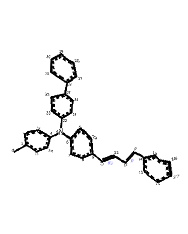 Cc1ccc(N(c2ccc(/C=C/C=C/c3ccccc3)cc2)c2ccc(-c3ccccc3)cc2)cc1